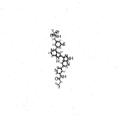 CC(C)CC(=O)Nc1cncc(-c2cnc3[nH]nc(-c4cc5c(-c6cc(F)cc(CNS(C)(=O)=O)c6)nccc5[nH]4)c3c2)c1